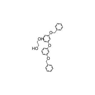 OCCO.c1ccc(COc2cccc(Oc3cccc(OCc4ccccc4)c3)c2)cc1